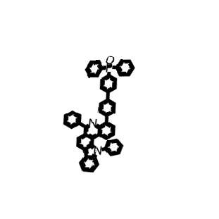 O=P(c1ccccc1)(c1ccccc1)c1ccc(-c2ccc(-c3cccc4c3nc(-c3ccccc3)c3ccc5c6ccccc6n(-c6ccccc6)c5c34)cc2)cc1